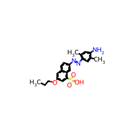 CCCOc1cc(S(=O)(=O)O)c2cc(N=Nc3cc(C)c(N)cc3C)ccc2c1